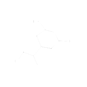 CC1CC(C(F)CO)CC(C)O1